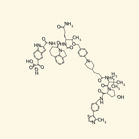 Cc1ncsc1-c1ccc(CNC(=O)[C@@H]2C[C@@H](O)CN2C(=O)[C@@H](NC(=O)CCC2CCN(c3ccc(CO[C@H](C)[C@H](CCC(N)=O)NC(=O)[C@@H]4Cc5cccc6c5N4C(=O)[C@@H](NC(=O)c4cc5cc(C(=O)P(=O)(O)O)ccc5[nH]4)CC6)cc3)CC2)C(C)(C)C)cc1